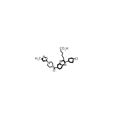 Cc1cc(N2CCN(C(=O)c3ccc4nc(-c5ccc(Cl)cc5)c(CCCCC(=O)O)nc4c3)CC2)sn1